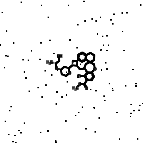 COC(=O)c1ccc2c(c1Cl)N(C[C@@H]1CC[C@H]1[C@@H]1C[C@@H](O[C@H](C)CO)CCO1)C[C@@]1(CCCc3ccccc31)CO2